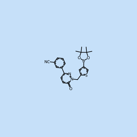 CC1(C)OB(c2csc(Cn3nc(-c4cccc(C#N)c4)ccc3=O)c2)OC1(C)C